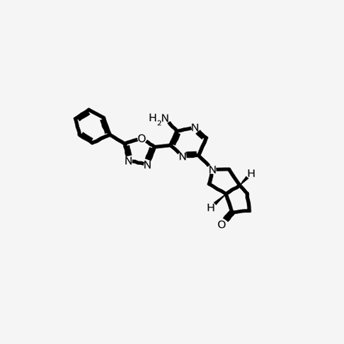 Nc1ncc(N2C[C@@H]3CCC(=O)[C@@H]3C2)nc1-c1nnc(-c2ccccc2)o1